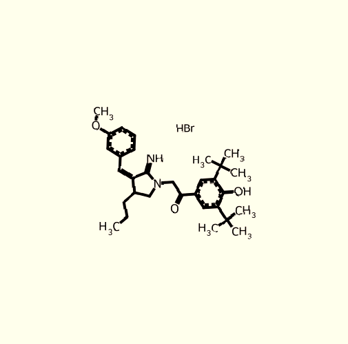 Br.CCCC1CN(CC(=O)c2cc(C(C)(C)C)c(O)c(C(C)(C)C)c2)C(=N)/C1=C\c1cccc(OC)c1